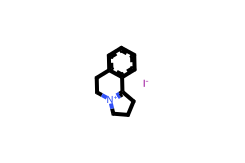 [I-].c1ccc2c(c1)CC[N+]1=C2CCC1